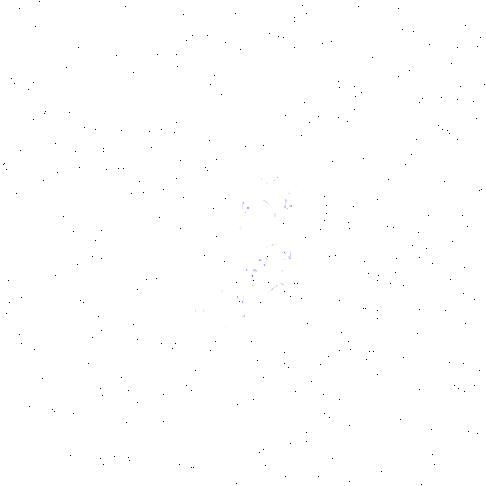 CO[C@H]1CCN(c2ccc3ncc(C4OC4Nc4cncc(F)c4)n3n2)C1